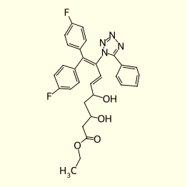 CCOC(=O)CC(O)CC(O)C=CC(=C(c1ccc(F)cc1)c1ccc(F)cc1)n1nnnc1-c1ccccc1